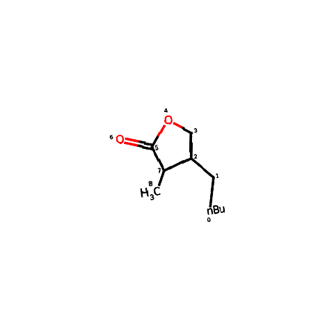 CCCCCC1COC(=O)C1C